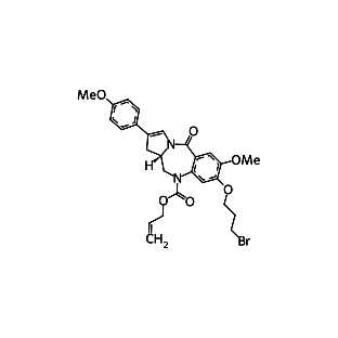 C=CCOC(=O)N1C[C@@H]2CC(c3ccc(OC)cc3)=CN2C(=O)c2cc(OC)c(OCCCBr)cc21